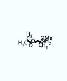 C=C(C)C(=O)OCCC(C)[SiH2]OC